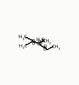 CCCCCC/C=C\COC(=O)CCCCCN(CCCCC(=O)OC(CCCCCCC)CCCCCCC)C(=O)SCCN(C)C